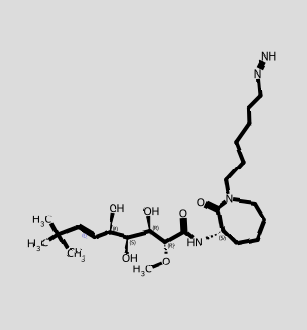 CO[C@@H](C(=O)N[C@H]1CCCCN(CCCCCCN=N)C1=O)[C@H](O)[C@@H](O)[C@H](O)/C=C/C(C)(C)C